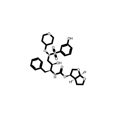 O=C(N[C@@H](Cc1ccccc1)[C@H](O)CN(OC1CCOCC1)S(=O)(=O)c1cccc(O)c1)O[C@H]1CO[C@H]2OCC[C@H]21